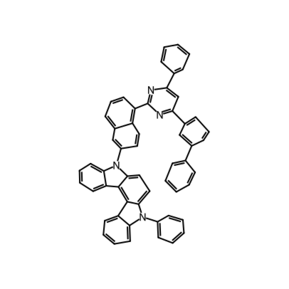 c1ccc(-c2cccc(-c3cc(-c4ccccc4)nc(-c4cccc5cc(-n6c7ccccc7c7c8c9ccccc9n(-c9ccccc9)c8ccc76)ccc45)n3)c2)cc1